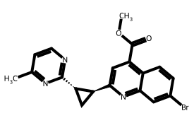 COC(=O)c1cc([C@H]2C[C@@H]2c2nccc(C)n2)nc2cc(Br)ccc12